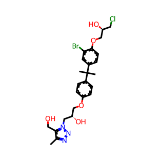 Cc1nnn(C[C@@H](O)COc2ccc(C(C)(C)c3ccc(OC[C@@H](O)CCl)c(Br)c3)cc2)c1CO